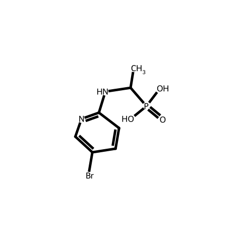 CC(Nc1ccc(Br)cn1)P(=O)(O)O